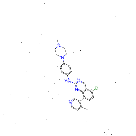 Cc1ccncc1-c1ccc(Cl)c2cnc(Nc3ccc(N4CCN(C)CC4)cc3)nc12